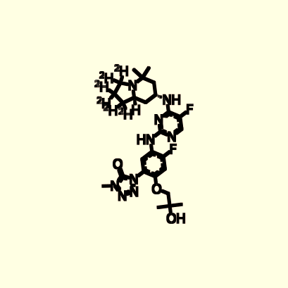 [2H]C1([2H])[C@H]2C[C@@H](Nc3nc(Nc4cc(-n5nnn(C)c5=O)c(OCC(C)(C)O)cc4F)ncc3F)CC(C)(C)N2C([2H])([2H])C1([2H])[2H]